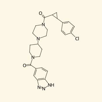 O=C(c1ccc2[nH]nnc2c1)N1CCC(N2CCN(C(=O)C3CC3c3ccc(Cl)cc3)CC2)CC1